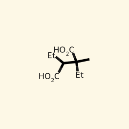 CCC(C(=O)O)C(C)(CC)C(=O)O